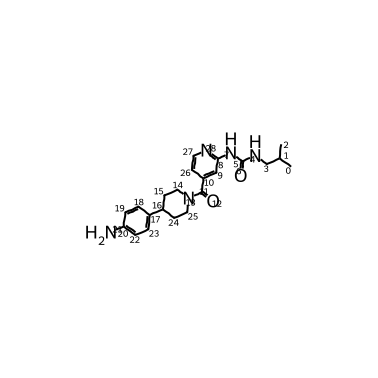 CC(C)CNC(=O)Nc1cc(C(=O)N2CCC(c3ccc(N)cc3)CC2)ccn1